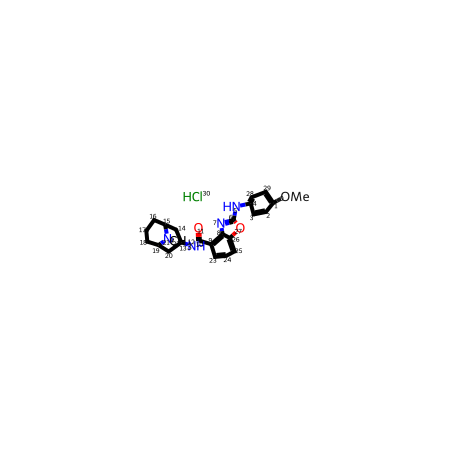 COc1ccc(Nc2nc3c(C(=O)NC4CC5CCCC(C4)N5C)cccc3o2)cc1.Cl